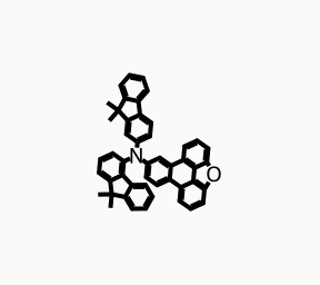 CC1(C)c2ccccc2-c2ccc(N(c3ccc4c(c3)c3cccc5oc6cccc4c6c53)c3cccc4c3-c3ccccc3C4(C)C)cc21